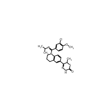 COc1ccc(/C(=N/C(C)C)N2CCCc3cc(C4=NNC(=O)SC4C)ccc32)cc1Cl